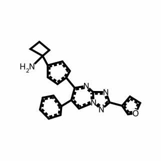 NC1(c2ccc(-c3nc4nc(-c5ccoc5)nn4cc3-c3ccccc3)cc2)CCC1